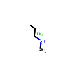 CCCN[SiH3].Cl